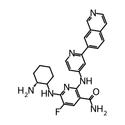 NC(=O)c1cc(F)c(NC2CCCC[C@@H]2N)nc1Nc1ccnc(-c2ccc3ccncc3c2)c1